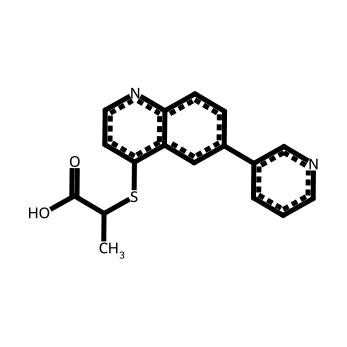 CC(Sc1ccnc2ccc(-c3cccnc3)cc12)C(=O)O